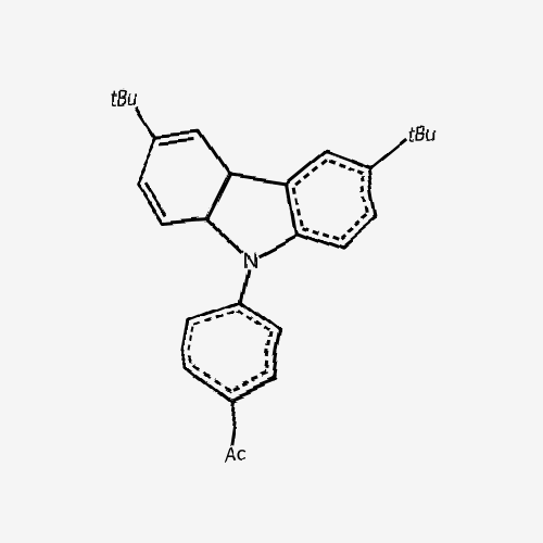 CC(=O)c1ccc(N2c3ccc(C(C)(C)C)cc3C3C=C(C(C)(C)C)C=CC32)cc1